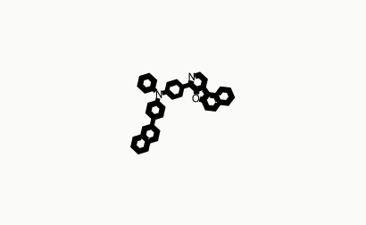 C1=CC(c2nccc3c2oc2ccc4ccccc4c23)CC=C1N(c1ccccc1)c1ccc(-c2ccc3ccccc3c2)cc1